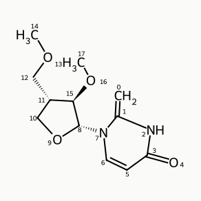 C=C1NC(=O)C=CN1[C@@H]1OC[C@H](COC)[C@H]1OC